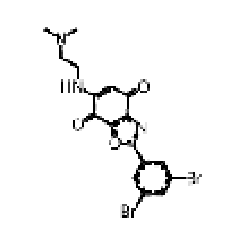 CN(C)CCNC1=CC(=O)c2nc(-c3cc(Br)cc(Br)c3)oc2C1=O